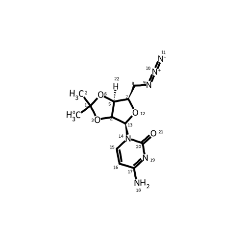 CC1(C)OC2[C@@H](O1)[C@@H](CN=[N+]=[N-])O[C@H]2n1ccc(N)nc1=O